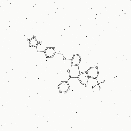 O=C(c1ccccc1)c1cnc2c(C(F)(F)F)cccc2c1-c1cccc(OCc2ccc(Cc3nnn[nH]3)cc2)c1